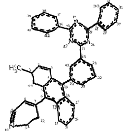 CC1C=Cc2c(c(C3=CC=NCC3)c3ccccc3c2-c2cccc(-c3nc(-c4ccccc4)nc(-c4ccccc4)n3)c2)C1